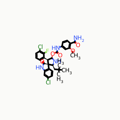 COc1cc(NC(=O)O[C@H]2N[C@@H](CC(C)(C)C)[C@@]3(C(=O)Nc4cc(Cl)ccc43)[C@H]2c2cccc(Cl)c2F)ccc1C(N)=O